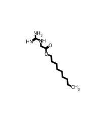 CCCCCCCCCOC(=O)CNC(=N)N